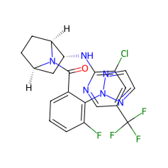 O=C(c1cccc(F)c1-n1nccn1)N1[C@@H]2CC[C@H]1[C@H](Nc1ncc(C(F)(F)F)cc1Cl)C2